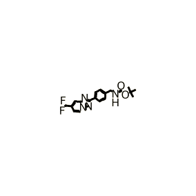 CC(C)(C)OC(=O)NCc1ccc(-c2nc3cc(C(F)F)ccn3n2)cc1